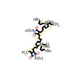 CCCCCCCCCC[Si]1(c2ccc(CCCC)s2)c2cc(C)sc2-c2sc(-c3sc(-c4cc5c(s4)-c4sc(-c6sc(C)c7c6C(=O)N(CCCCCCCC)C7=O)cc4[Si]5(CC(CC)CCCC)c4ccc(CCCC)s4)c4c3C(=O)N(CCCCCCCC)C4=O)cc21